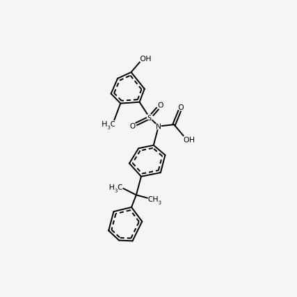 Cc1ccc(O)cc1S(=O)(=O)N(C(=O)O)c1ccc(C(C)(C)c2ccccc2)cc1